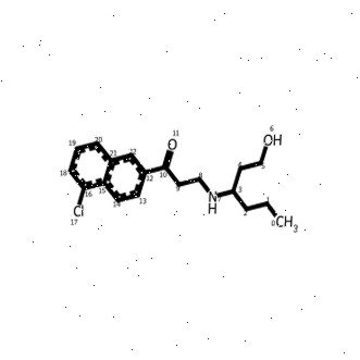 CCCC(CCO)NCCC(=O)c1ccc2c(Cl)cccc2c1